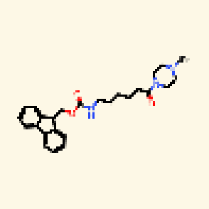 CC(C)N1CCN(C(=O)CCCCCNC(=O)OCC2c3ccccc3-c3ccccc32)CC1